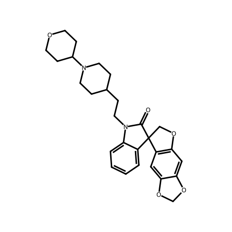 O=C1N(CCC2CCN(C3CCOCC3)CC2)c2ccccc2C12COc1cc3c(cc12)OCO3